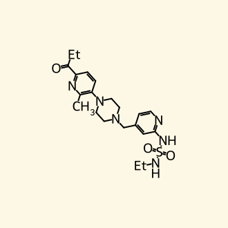 CCNS(=O)(=O)Nc1cc(CN2CCN(c3ccc(C(=O)CC)nc3C)CC2)ccn1